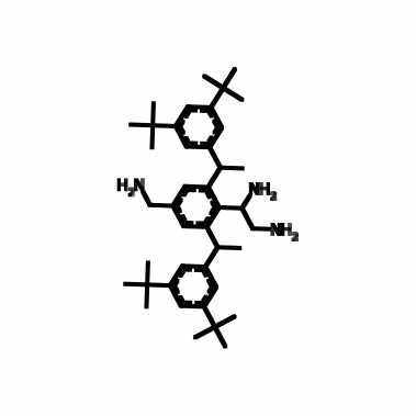 CC(c1cc(C(C)(C)C)cc(C(C)(C)C)c1)c1cc(CN)cc(C(C)c2cc(C(C)(C)C)cc(C(C)(C)C)c2)c1C(N)CN